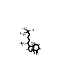 C[C@H](CCCC(C)(C)O)C1CC[C@H]2C(=O)CCC[C@]12C